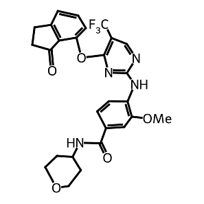 COc1cc(C(=O)NC2CCOCC2)ccc1Nc1ncc(C(F)(F)F)c(Oc2cccc3c2C(=O)CC3)n1